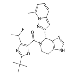 Cc1cccc2cc([C@@H]3c4nc[nH]c4CCN3C(=O)c3oc(C(C)(C)C)nc3C(C)F)nn12